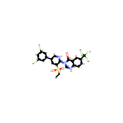 CCS(=O)(=O)c1cc(-c2cc(F)cc(F)c2)cnc1-n1cnc2ccc(C(F)(F)F)cc2c1=O